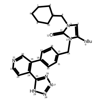 CCCCc1cn(CC2CCCCC2)c(=O)n1Cc1ccc(-c2cnccc2-c2nnn[nH]2)cc1